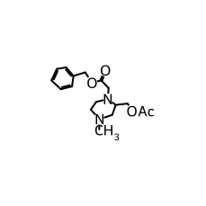 CC(=O)OCC1CN(C)CCN1CC(=O)OCc1ccccc1